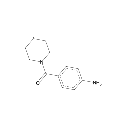 Nc1ccc(C(=O)N2CC[CH]CC2)cc1